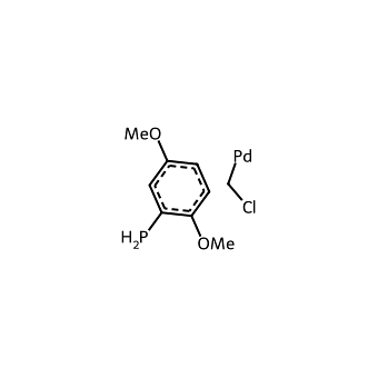 COc1ccc(OC)c(P)c1.Cl[CH2][Pd]